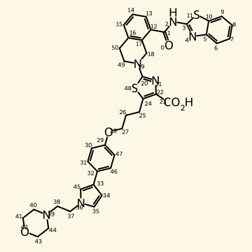 O=C(Nc1nc2ccccc2s1)c1cccc2c1CN(c1nc(C(=O)O)c(CCCOc3ccc(-c4ccn(CCN5CCOCC5)c4)cc3)s1)CC2